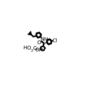 O=C(Nc1cccc(CC2CC2)c1)[C@H](c1ccc(Cl)cc1)C1CCCC1.O=C(O)O